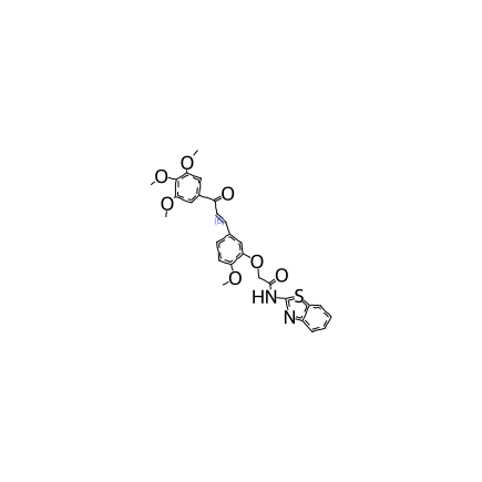 COc1ccc(/C=C/C(=O)c2cc(OC)c(OC)c(OC)c2)cc1OCC(=O)Nc1nc2ccccc2s1